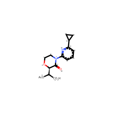 CC(=O)OC(C(=O)O)[C@H]1OCCN(c2cccc(C3CC3)n2)C1=O